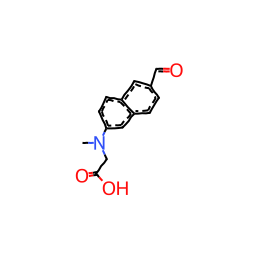 CN(CC(=O)O)c1ccc2cc(C=O)ccc2c1